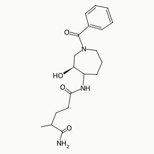 CC(C[CH]C(=O)NC1CCCN(C(=O)c2ccccc2)C[C@@H]1O)C(N)=O